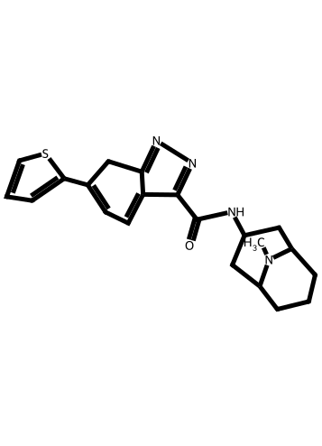 CN1C2CCCC1CC(NC(=O)C1=NN=C3CC(c4cccs4)=CC=C31)C2